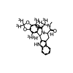 [2H]c1c([2H])c([C@]2([2H])c3[nH]c4ccccc4c3C[C@@H]3C(=O)N(C)C([2H])([2H])C(=O)N32)c([2H])c2c1OC([2H])([2H])O2